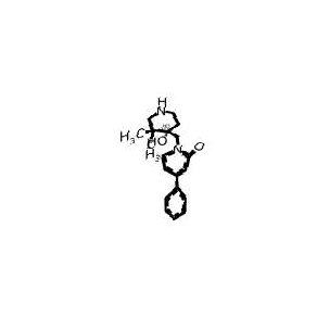 CC1(C)CNCC[C@@]1(O)Cn1ccc(-c2ccccc2)cc1=O